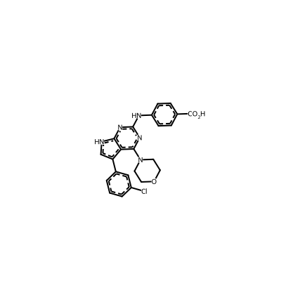 O=C(O)c1ccc(Nc2nc(N3CCOCC3)c3c(-c4cccc(Cl)c4)c[nH]c3n2)cc1